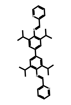 CC(C)c1cc(-c2cc(C(C)C)c(N=Cc3ccccn3)c(C(C)C)c2)cc(C(C)C)c1N=Cc1ccccn1